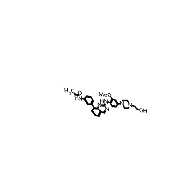 C=CC(=O)Nc1cccc(-c2cccc3cnc(Nc4ccc(N5CCN(CCO)CC5)cc4OC)nc23)c1